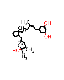 CC(CCCC1(C)CCC[C@@H]1CCC[C@H](C)C(C)(C)O)CCC1CC(O)C[C@H](O)C1